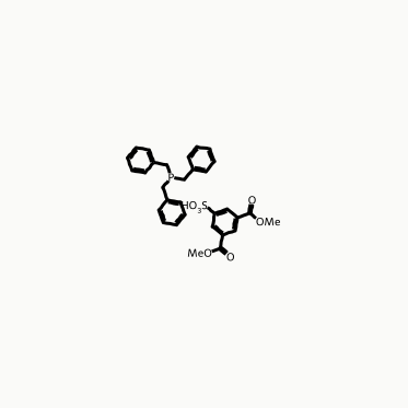 COC(=O)c1cc(C(=O)OC)cc(S(=O)(=O)O)c1.c1ccc(CP(Cc2ccccc2)Cc2ccccc2)cc1